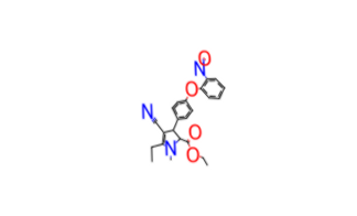 CCOC(=O)C1C(c2ccc(Oc3ccccc3N=O)cc2)C(C#N)=C(CC)N1C